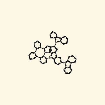 c1ccc2c(c1)-c1ccccc1-c1cccc(-n3c4ccc(-n5c6ccccc6c6ccccc65)cc4c4cc(-n5c6ccccc6c6ccccc65)ccc43)c1-c1ccccc1-2